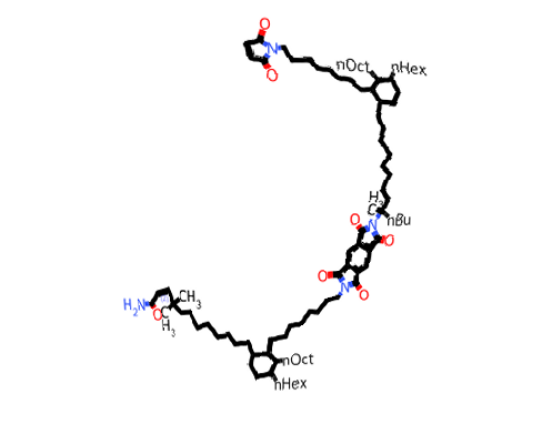 CCCCCCCCC1C(CCCCCC)CCC(CCCCCCCCC(C)(CCCC)n2c(=O)c3cc4c(=O)n(CCCCCCCCC5C(CCCCCCCCC(C)(C)/C=C\C(N)=O)CCC(CCCCCC)C5CCCCCCCC)c(=O)c4cc3c2=O)C1CCCCCCCCN1C(=O)C=CC1=O